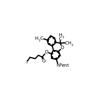 CCCCCc1cc(OC(=O)CCCI)c2c(c1)OC(C)(C)c1ccc(C)cc1-2